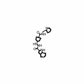 O=C(NCc1ccccn1)c1ccc(NNC(=O)c2cc3ccccc3[nH]2)cc1